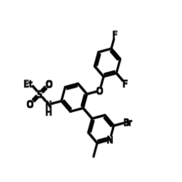 CCS(=O)(=O)Nc1ccc(Oc2ccc(F)cc2F)c(-c2cc(C)nc(Br)c2)c1